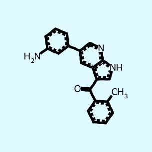 Cc1ccccc1C(=O)c1c[nH]c2ncc(-c3cccc(N)c3)cc12